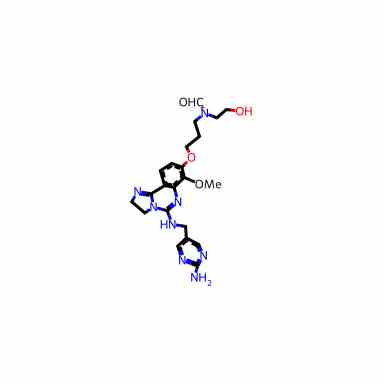 COc1c(OCCCN(C=O)CCO)ccc2c1N=C(NCc1cnc(N)nc1)N1CCN=C21